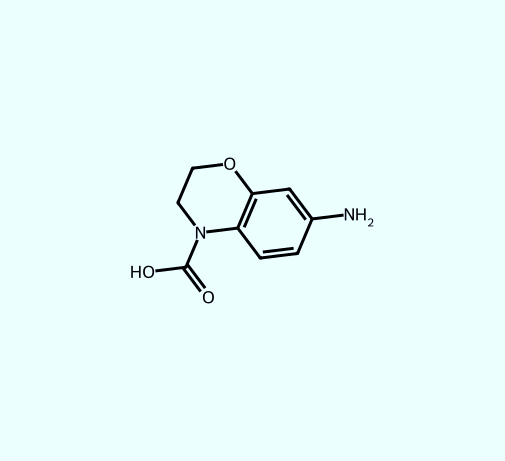 Nc1ccc2c(c1)OCCN2C(=O)O